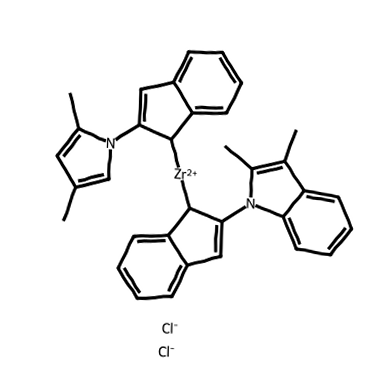 Cc1cc(C)n(C2=Cc3ccccc3[CH]2[Zr+2][CH]2C(n3c(C)c(C)c4ccccc43)=Cc3ccccc32)c1.[Cl-].[Cl-]